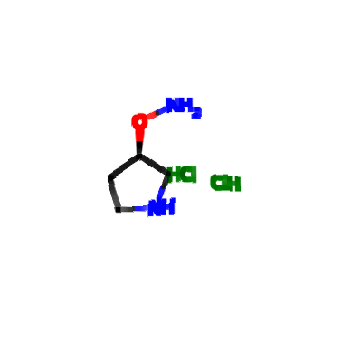 Cl.Cl.NO[C@@H]1CCNC1